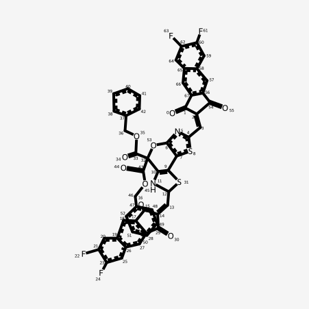 O=C1C(=Cc2nc3c(s2)C2=C(NC(C=C4C(=O)c5cc6cc(F)c(F)cc6cc5C4=O)S2)C(C(=O)OCc2ccccc2)(C(=O)OCc2ccccc2)O3)C(=O)c2cc3cc(F)c(F)cc3cc21